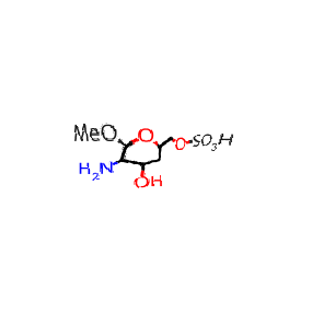 CO[C@H]1OC(COS(=O)(=O)O)CC(O)C1N